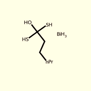 CCCCCC(O)(S)S.[BiH3]